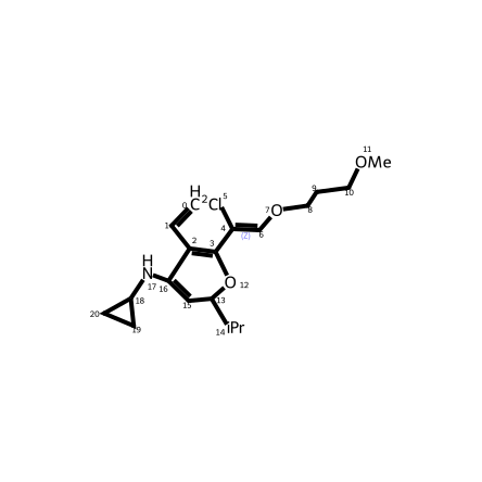 C=CC1=C(/C(Cl)=C/OCCCOC)OC(C(C)C)C=C1NC1CC1